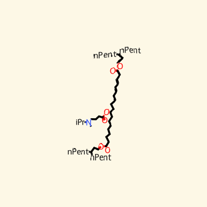 CCCCCC(CCCCC)CCOC(=O)CCCCCCCCCC(CCCCCCCC(=O)OCCC(CCCCC)CCCCC)OC(=O)CCCN(C)C(C)C